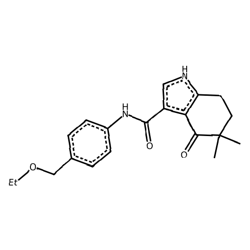 CCOCc1ccc(NC(=O)c2c[nH]c3c2C(=O)C(C)(C)CC3)cc1